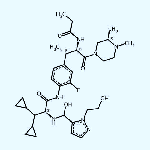 CCC(=O)N[C@@H](C(=O)N1CCN(C)[C@H](C)C1)[C@@H](C)c1ccc(NC(=O)[C@@H](NC(O)c2ccnn2CCO)C(C2CC2)C2CC2)c(F)c1